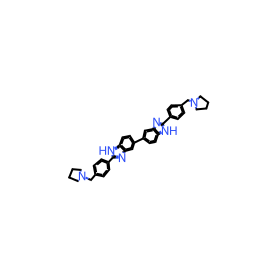 c1cc(-c2nc3cc(-c4ccc5[nH]c(-c6ccc(CN7CCCC7)cc6)nc5c4)ccc3[nH]2)ccc1CN1CCCC1